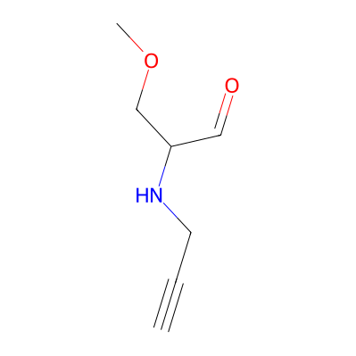 C#CCNC(C=O)COC